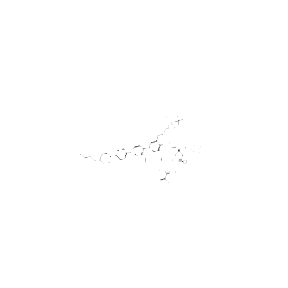 C=C(C)C(=O)OCCCc1cc(-c2ccc(-c3ccc(C4CCC(CCCCC)CC4)cc3)cc2CC)cc(CCCOC(=O)C(C)(C)C)c1OCCC(CO)(CO)CCC